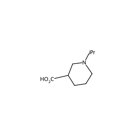 CC(C)N1CCCC(C(=O)O)C1